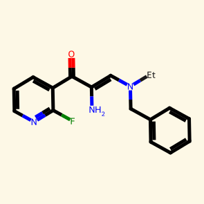 CCN(/C=C(\N)C(=O)c1cccnc1F)Cc1ccccc1